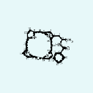 NC(Cc1cc2cc3nc(cc4ccc(cc5nc(cc1[nH]2)C=C5)[nH]4)C=C3)NC(=O)c1ccccc1